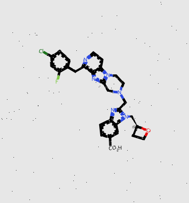 O=C(O)c1ccc2nc(CN3CCn4c(nc5c(Cc6ccc(Cl)cc6F)nccc54)C3)n(C[C@@H]3CCO3)c2c1